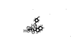 Cc1ccc(CCOc2c(C(=O)NC(C)(C)C(=O)O)ccc3ccccc23)cc1